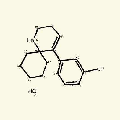 Cl.Clc1cccc(C2=CCCNC23CCCCC3)c1